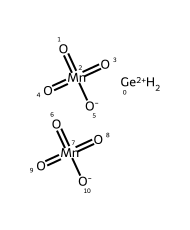 [GeH2+2].[O]=[Mn](=[O])(=[O])[O-].[O]=[Mn](=[O])(=[O])[O-]